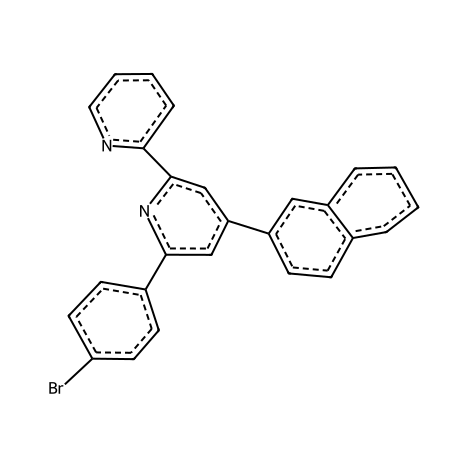 Brc1ccc(-c2cc(-c3ccc4ccccc4c3)cc(-c3ccccn3)n2)cc1